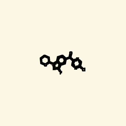 O=C(c1ccc2c(c1)c(F)nn2C1CCCCO1)c1cnc(Cl)cn1